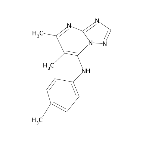 Cc1ccc(Nc2c(C)c(C)nc3ncnn23)cc1